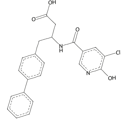 O=C(O)CC(Cc1ccc(-c2ccccc2)cc1)NC(=O)c1cnc(O)c(Cl)c1